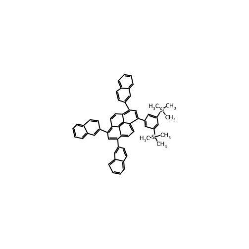 C[Si](C)(C)c1cc(-c2cc(-c3ccc4ccccc4c3)c3ccc4c(-c5ccc6ccccc6c5)cc(-c5ccc6ccccc6c5)c5ccc2c3c54)cc([Si](C)(C)C)c1